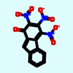 O=C1C2=Cc3ccccc3C2=C([N+](=O)[O-])C([N+](=O)[O-])=C1[N+](=O)[O-]